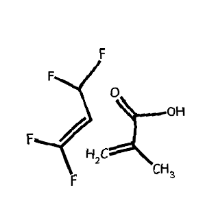 C=C(C)C(=O)O.FC(F)=CC(F)F